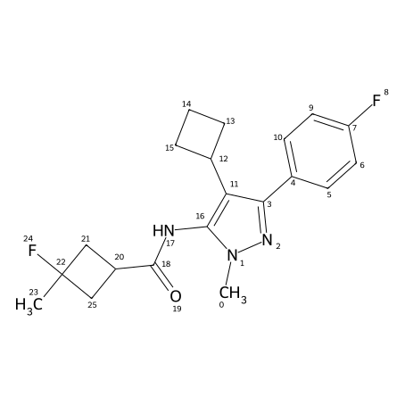 Cn1nc(-c2ccc(F)cc2)c(C2CCC2)c1NC(=O)C1CC(C)(F)C1